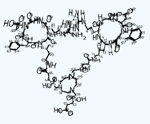 N=C(N)NCCC[C@@H]1NC(=O)[C@H](CCCCNC(=O)CC[PH](=O)CN2CCN(CP(=O)(O)CCC(=O)O)CCN(CP(=O)(O)CCC(=O)NCCCC[C@@H]3NC(=O)[C@@H](Cc4ccccc4)NC(=O)[C@H](CC(=O)O)NC(=O)CNC(=O)[C@H](CCCNC(=N)N)NC3=O)CC2)NC(=O)[C@@H](Cc2ccccc2)NC(=O)[C@H](CC(=O)O)NC(=O)CNC1=O